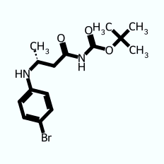 C[C@H](CC(=O)NC(=O)OC(C)(C)C)Nc1ccc(Br)cc1